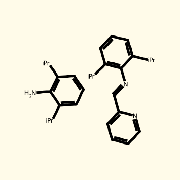 CC(C)c1cccc(C(C)C)c1N.CC(C)c1cccc(C(C)C)c1N=Cc1ccccn1